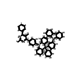 Cc1nc(-c2ccccc2)c(C)c(-c2ccc(N3c4ccccc4C(c4ccccc4)(c4cccc(-n5c6ccccc6c6ccccc65)c4)c4ccccc43)cc2)n1